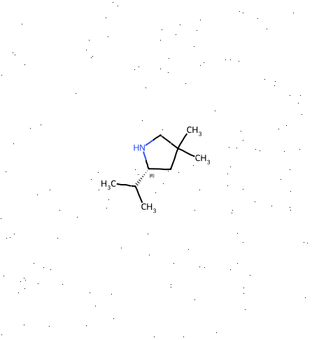 CC(C)[C@H]1CC(C)(C)CN1